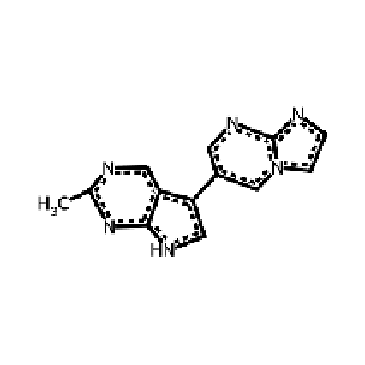 Cc1ncc2c(-c3cnc4nccn4c3)c[nH]c2n1